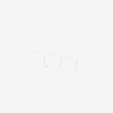 CC(C)C(c1ccccc1Cl)C(C)C